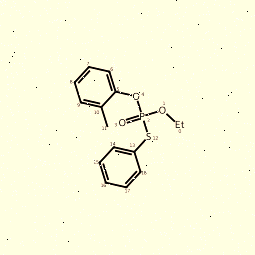 CCOP(=O)(Oc1ccccc1C)Sc1ccccc1